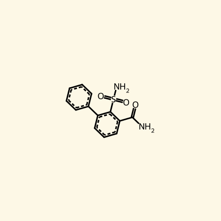 NC(=O)c1cccc(-c2ccccc2)c1S(N)(=O)=O